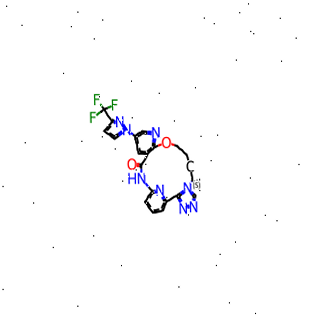 C[C@H]1CCCOc2ncc(-n3ccc(C(F)(F)F)n3)cc2C(=O)Nc2cccc(n2)-c2nncn21